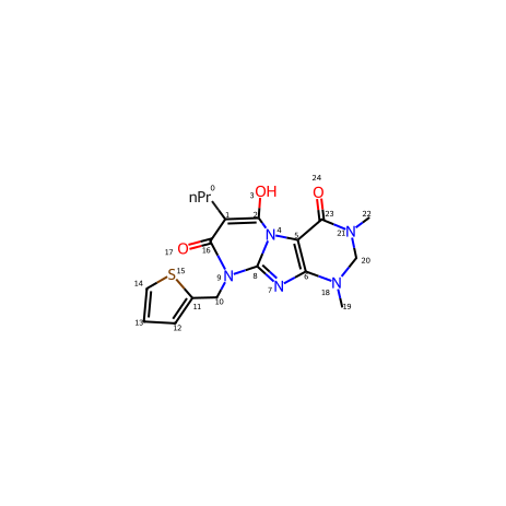 CCCc1c(O)n2c3c(nc2n(Cc2cccs2)c1=O)N(C)CN(C)C3=O